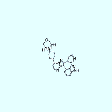 c1cc(-c2c(-c3ccncc3)nn3c(C4CCC(N5[C@@H]6CC[C@H]5COC6)CC4)ccnc23)c2cn[nH]c2c1